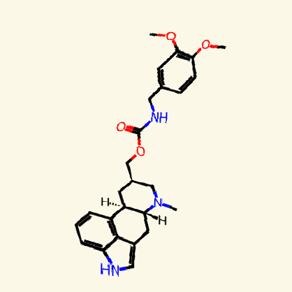 COc1ccc(CNC(=O)OC[C@@H]2C[C@@H]3c4cccc5[nH]cc(c45)C[C@H]3N(C)C2)cc1OC